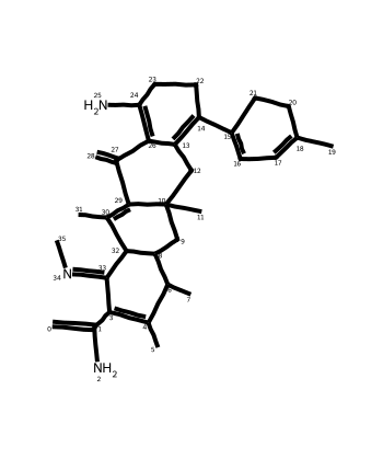 C=C(N)C1=C(C)C(C)C2CC3(C)CC4=C(C5=CC=C(C)CC5)CCC(N)=C4C(=C)C3=C(C)C2/C1=N\C